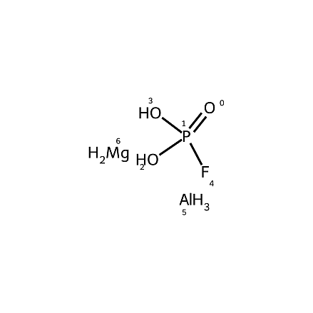 O=P(O)(O)F.[AlH3].[MgH2]